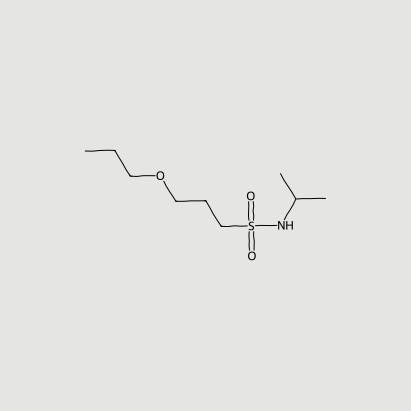 CCCOCCCS(=O)(=O)NC(C)C